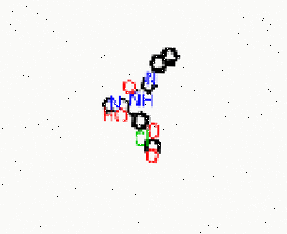 O=C(N[C@H](CN1CCCC1)[C@H](O)c1ccc(OC2CCOCC2)c(Cl)c1)[C@@H]1CCN(c2ccc3ccccc3c2)C1